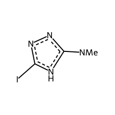 CNc1nnc(I)[nH]1